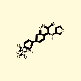 CS(=O)(=O)S(=O)(=O)c1ccc(-c2ccc3c(NC4CCOC4)c(C#N)nnc3c2)cc1